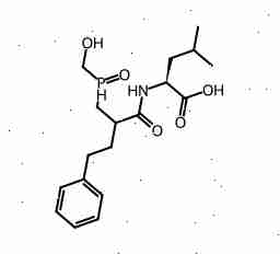 CC(C)C[C@H](NC(=O)C(CCc1ccccc1)C[PH](=O)CO)C(=O)O